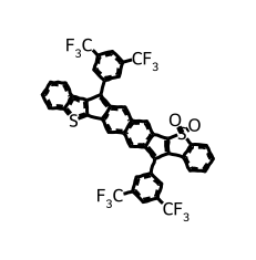 O=S1(=O)C2=C(C(c3cc(C(F)(F)F)cc(C(F)(F)F)c3)=c3cc4cc5c(cc4cc32)=C(c2cc(C(F)(F)F)cc(C(F)(F)F)c2)c2c-5sc3ccccc23)c2ccccc21